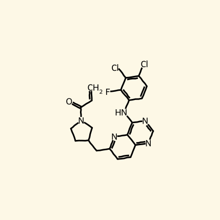 C=CC(=O)N1CCC(Cc2ccc3ncnc(Nc4ccc(Cl)c(Cl)c4F)c3n2)C1